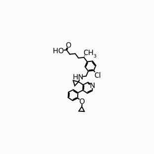 C[C@@H](CCCC(=O)O)c1ccc(Cl)c(CNC2(c3cnccc3-c3ccccc3OC3CC3)CC2)c1